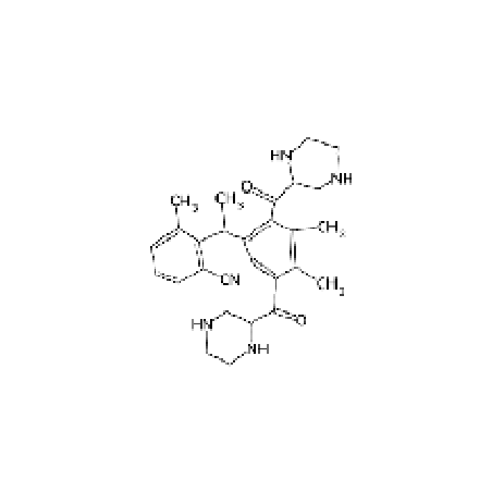 Cc1cccc(C#N)c1C(C)c1cc(C(=O)C2CNCCN2)c(C)c(C)c1C(=O)C1CNCCN1